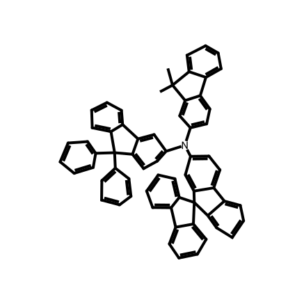 CC1(C)c2ccccc2-c2ccc(N(c3ccc4c(c3)-c3ccccc3C4(c3ccccc3)c3ccccc3)c3ccc4c(c3)C3(c5ccccc5-c5ccccc53)c3ccccc3-4)cc21